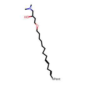 CCCCCC=CCC=CCCCCCCCCOCCC(O)CN(C)C